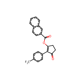 O=C1CCC(OC(=O)c2ccc3ccccc3c2)=C1c1ccc(C(F)(F)F)cc1